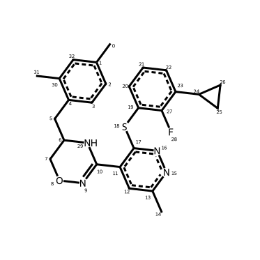 Cc1ccc(CC2CON=C(c3cc(C)nnc3Sc3cccc(C4CC4)c3F)N2)c(C)c1